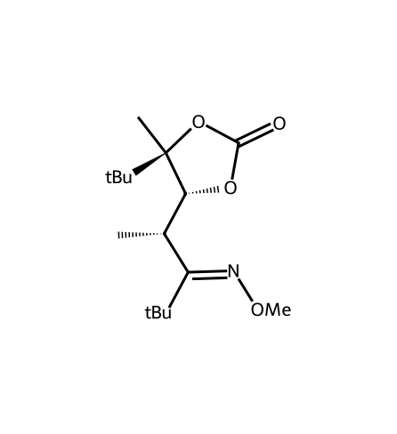 CON=C([C@H](C)[C@H]1OC(=O)O[C@]1(C)C(C)(C)C)C(C)(C)C